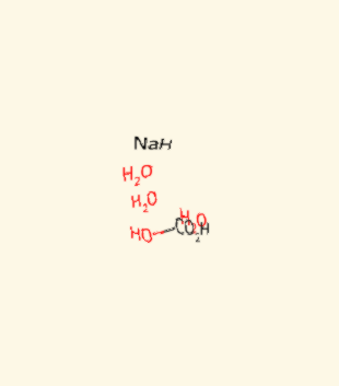 O.O.O.O=C(O)O.[NaH]